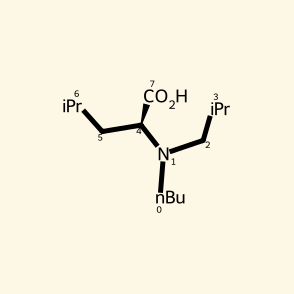 CCCCN(CC(C)C)[C@@H](CC(C)C)C(=O)O